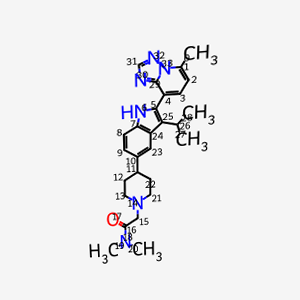 Cc1ccc(-c2[nH]c3ccc(C4CCN(CC(=O)N(C)C)CC4)cc3c2C(C)C)c2ncnn12